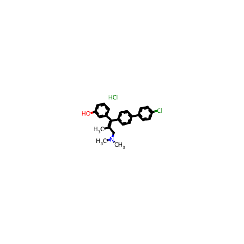 CC(CN(C)C)=C(c1ccc(-c2ccc(Cl)cc2)cc1)c1cccc(O)c1.Cl